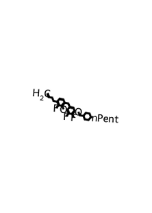 C=CCCc1ccc2c(c1F)Oc1c(cc(OCC3CCC(CCCCC)CC3)c(F)c1F)C2